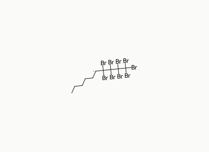 CCCCC[CH]C(Br)(Br)C(Br)(Br)C(Br)(Br)C(Br)(Br)Br